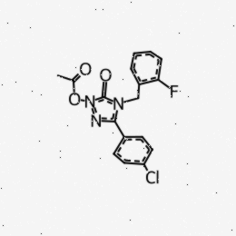 CC(=O)On1nc(-c2ccc(Cl)cc2)n(Cc2ccccc2F)c1=O